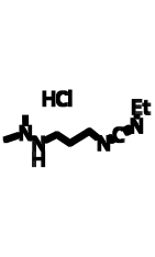 CCN=C=NCCCNN(C)C.Cl